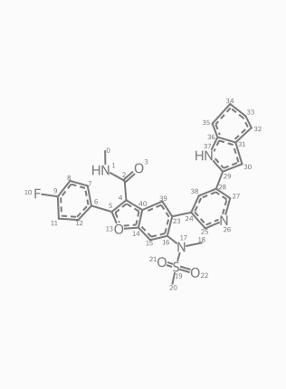 CNC(=O)c1c(-c2ccc(F)cc2)oc2cc(N(C)S(C)(=O)=O)c(-c3cncc(-c4cc5ccccc5[nH]4)c3)cc12